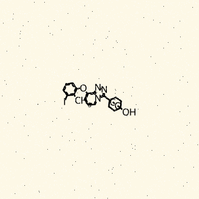 Cc1c(I)cccc1Oc1cccn2c(C34CCC(O)(CC3)CC4)nnc12